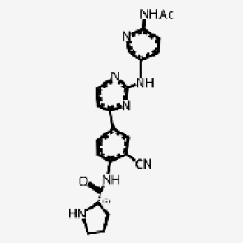 CC(=O)Nc1ccc(Nc2nccc(-c3ccc(NC(=O)[C@@H]4CCCN4)c(C#N)c3)n2)cn1